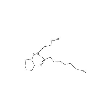 NCCCCCCC(=O)N(CCCO)OC1CCCCC1